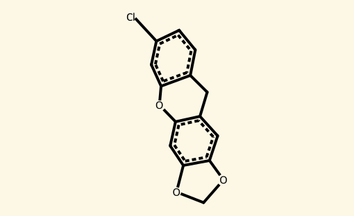 Clc1ccc2c(c1)Oc1cc3c(cc1C2)OCO3